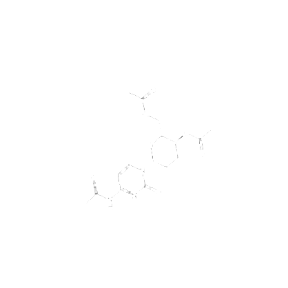 CC(=O)Nc1ccn([C@H]2CC[C@H](OC(C)=O)[C@@H](COC(C)=O)O2)c(=O)n1